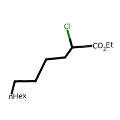 CCCCCCCCCCC(Cl)C(=O)OCC